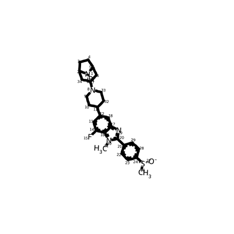 CC(C)N1C2CCC1CC(N1CCC(c3cc(F)c4c(c3)nc(-c3ccc([S+](C)[O-])cc3)n4C)CC1)C2